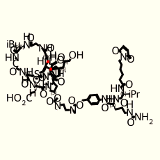 CC[C@H](C)[C@H]1NC(=O)CNC(=O)[C@@H]2Cc3c([nH]c4ccccc34)S(=O)(=O)C[C@H](NC(=O)CNC1=O)C(=O)N[C@@H](CCC(=O)O)C(=O)N1C[C@@H](OC(=O)N(C)CCN(C)C(=O)OCc3ccc(NC(=O)[C@H](CCCNC(N)=O)NC(=O)[C@@H](NC(=O)CCCCCN4C(=O)C=CC4=O)C(C)C)cc3)CC1C(=O)N[C@H]([C@@H](C)[C@@H](O)CO)C(=O)N2